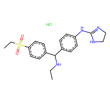 CCNC(c1ccc(NC2=NCCN2)cc1)c1ccc(S(=O)(=O)CC)cc1.Cl